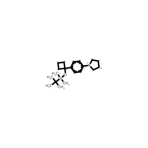 CC(C)(C)[Si](C)(C)OC1(c2ccc(N3CCCC3)cc2)CCC1